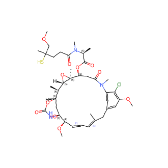 COCC(C)(S)CCC(=O)N(C)[C@@H](C)C(=O)O[C@H]1CC(=O)N(C)c2cc(cc(OC)c2Cl)C/C(C)=C/C=C/[C@@H](OC)[C@@]2(O)C[C@H](OC(=O)N2)[C@@H](C)[C@@H]2O[C@@]12C